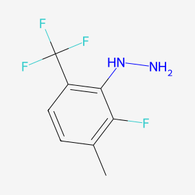 Cc1ccc(C(F)(F)F)c(NN)c1F